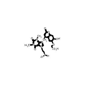 CCN(CC)CCn1cnc2c1c(=O)n(C)c(=O)n2C.Cc1cc(=O)oc2cc(O)c(OCC(=O)O)cc12